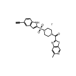 C#Cc1ccc2[nH]c(S(=O)(=O)N3CCN(C(=O)C4=[N+]c5cc(C)ncc5S4)CC3)cc2c1.[I-]